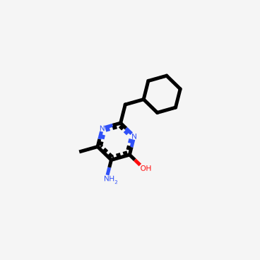 Cc1nc(CC2CCCCC2)nc(O)c1N